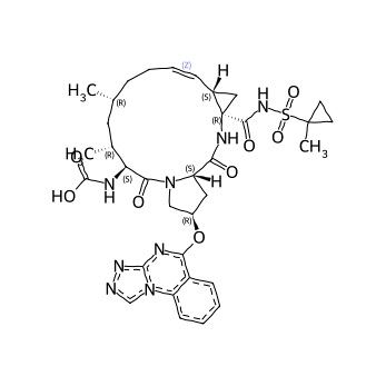 C[C@@H]1CC/C=C\[C@@H]2C[C@@]2(C(=O)NS(=O)(=O)C2(C)CC2)NC(=O)[C@@H]2C[C@@H](Oc3nc4nncn4c4ccccc34)CN2C(=O)[C@@H](NC(=O)O)[C@H](C)C1